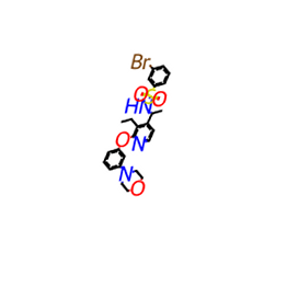 CCc1c(C(C)NS(=O)(=O)c2cccc(Br)c2)ccnc1Oc1cccc(N2CCOCC2)c1